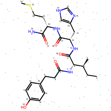 CC[C@H](C)[C@H](NC(=O)CCc1ccc(O)cc1)C(=O)N[C@@H](Cc1c[nH]cn1)C(=O)N[C@@H](CCSC)C(N)=O